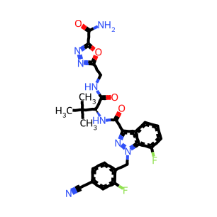 CC(C)(C)[C@H](NC(=O)c1nn(Cc2ccc(C#N)cc2F)c2c(F)cccc12)C(=O)NCc1nnc(C(N)=O)o1